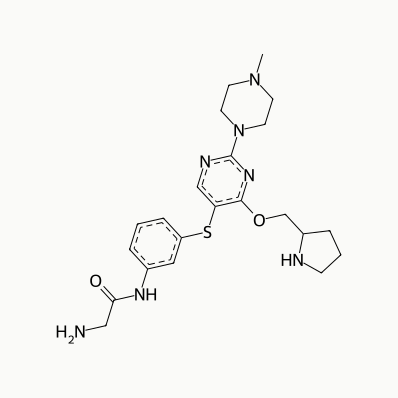 CN1CCN(c2ncc(Sc3cccc(NC(=O)CN)c3)c(OCC3CCCN3)n2)CC1